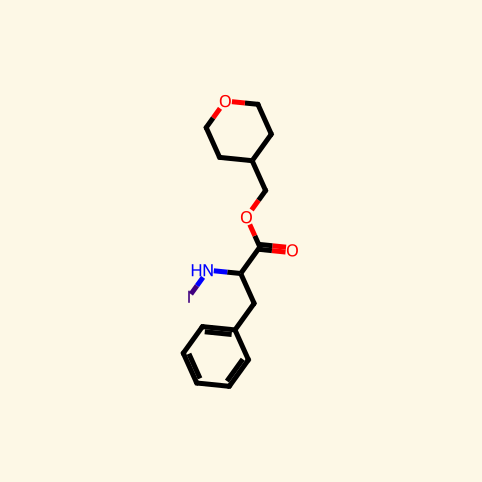 O=C(OCC1CCOCC1)C(Cc1ccccc1)NI